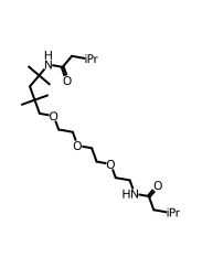 CC(C)CC(=O)NCCOCCOCCOCC(C)(C)CC(C)(C)NC(=O)CC(C)C